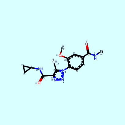 CCNC(=O)c1ccc(-n2nnc(C(=O)NC3CC3)c2C)c(OCC)c1